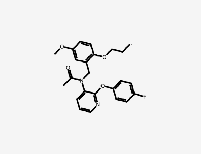 [CH2]CCOc1ccc(OC)cc1CN(C(C)=O)c1cccnc1Oc1ccc(F)cc1